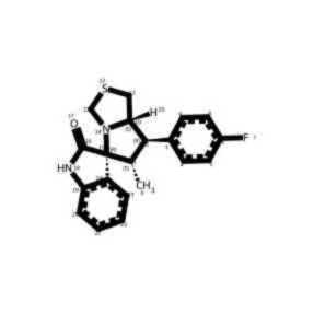 C[C@H]1[C@H](c2ccc(F)cc2)[C@H]2CSCN2[C@]12C(=O)Nc1ccccc12